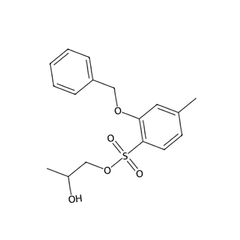 Cc1ccc(S(=O)(=O)OCC(C)O)c(OCc2ccccc2)c1